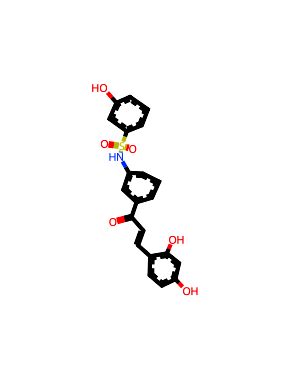 O=C(/C=C/c1ccc(O)cc1O)c1cccc(NS(=O)(=O)c2cccc(O)c2)c1